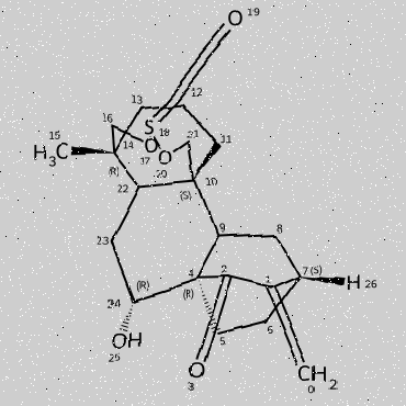 C=C1C(=O)[C@]23CC[C@H]1CC2[C@@]12CCC[C@@](C)(COS(=O)OC1)C2C[C@H]3O